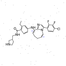 CCc1cc(N/C2=C/CC/C=C\n3c(-c4ccc(Cl)c(F)c4F)cnc32)ccc1C(=O)NCC1CCNC1